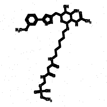 COc1cccc(-c2cn(CC3OC(OCCCCCCNC(=O)CC(=O)NCOP(=O)(O)OC)C(NC(C)=O)C(O)C3O)nn2)c1